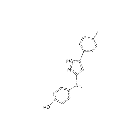 Cc1ccc(-c2cc(Nc3ccc(O)cc3)n[nH]2)cc1